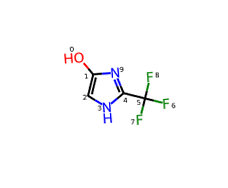 Oc1c[nH]c(C(F)(F)F)n1